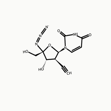 C#C[C@@H]1[C@H](n2ccc(=O)[nH]c2=O)O[C@@](CO)(N=[N+]=[N-])[C@H]1O